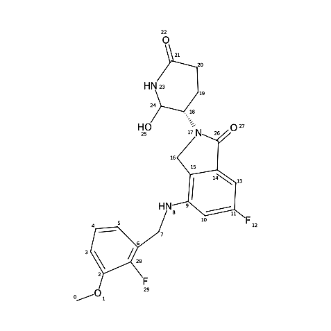 COc1cccc(CNc2cc(F)cc3c2CN([C@H]2CCC(=O)NC2O)C3=O)c1F